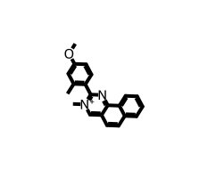 COc1ccc(-c2nc3c(ccc4ccccc43)c[n+]2C)c(C)c1